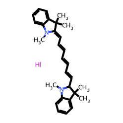 CN1C(=CC=CC=CC=CC2N(C)c3ccccc3C2(C)C)C(C)(C)c2ccccc21.I